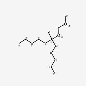 CCCCCC(C)(CCCCC)OCOC